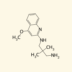 COc1cc(NCC(C)(C)CN)nc2ccccc12